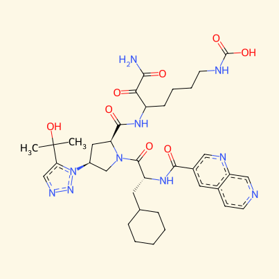 CC(C)(O)c1cnnn1[C@H]1C[C@@H](C(=O)NC(CCCCNC(=O)O)C(=O)C(N)=O)N(C(=O)[C@@H](CC2CCCCC2)NC(=O)c2cnc3cnccc3c2)C1